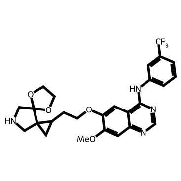 COc1cc2ncnc(Nc3cccc(C(F)(F)F)c3)c2cc1OCCC1CC12CNCC21OCCO1